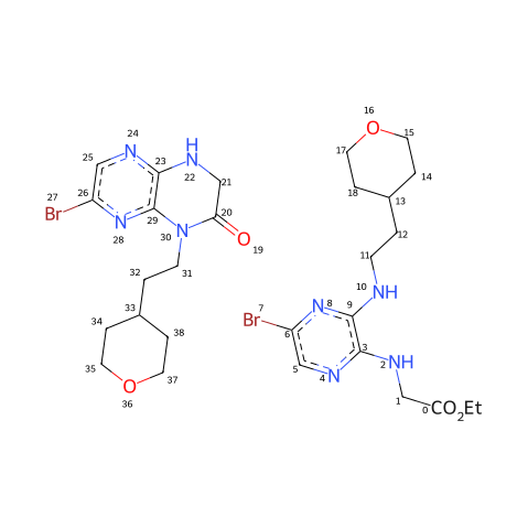 CCOC(=O)CNc1ncc(Br)nc1NCCC1CCOCC1.O=C1CNc2ncc(Br)nc2N1CCC1CCOCC1